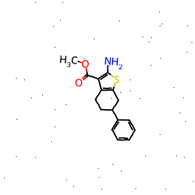 COC(=O)c1c(N)sc2c1CCC(c1ccccc1)C2